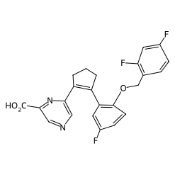 O=C(O)c1cncc(C2=C(c3cc(F)ccc3OCc3ccc(F)cc3F)CCC2)n1